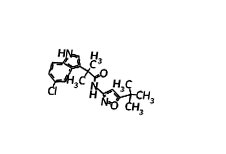 CC(C)(C)c1cc(NC(=O)C(C)(C)c2c[nH]c3ccc(Cl)cc23)no1